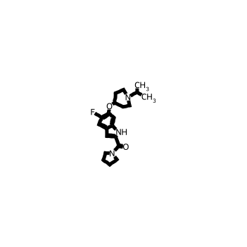 CC(C)N1CCC(Oc2cc3[nH]c(C(=O)N4CCCC4)cc3cc2F)CC1